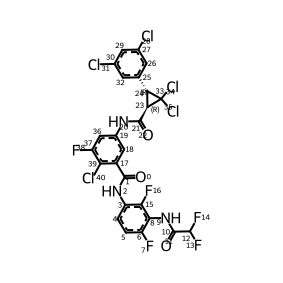 O=C(Nc1ccc(F)c(NC(=O)C(F)F)c1F)c1cc(NC(=O)[C@H]2[C@H](c3cc(Cl)cc(Cl)c3)C2(Cl)Cl)cc(F)c1Cl